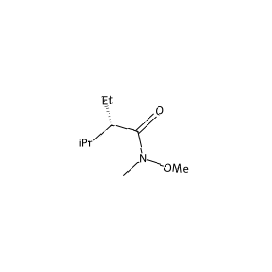 CC[C@H](C(=O)N(C)OC)C(C)C